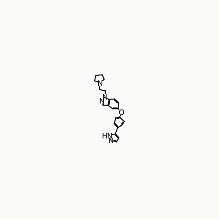 c1cc(-c2ccc(Oc3ccc4c(cnn4CCN4CCCC4)c3)cc2)[nH]n1